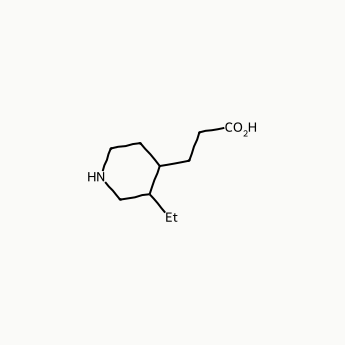 CCC1CNCCC1CCC(=O)O